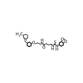 CC1CCCN(Cc2cccc(OCCCNC(=O)CCCNC(=S)Nc3ccc4c(c3)OCO4)c2)C1